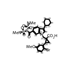 CNS(=O)(=O)N(C(=O)c1ccc2c(C3CCCCC3)cn(CC3(C(=O)O)CC3c3cc(OC)ccc3Br)c2c1)S(=O)(=O)NC